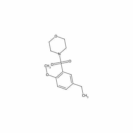 CCc1ccc(OC)c(S(=O)(=O)N2CCOCC2)c1